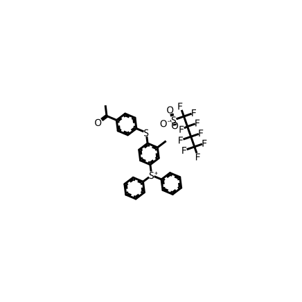 CC(=O)c1ccc(Sc2ccc([S+](c3ccccc3)c3ccccc3)cc2C)cc1.O=S(=O)([O-])C(F)(F)C(F)(F)C(F)(F)C(F)(F)F